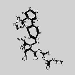 CCCCc1nc(Cl)c(C(=O)OC(C)OC(=O)OC(C)C)n1Cc1ccc(-c2ccccc2-c2nnn[nH]2)cc1